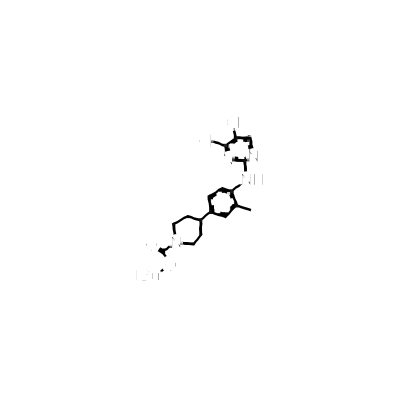 Cc1cc(C2CCN(C(=O)OC(C)(C)C)CC2)ccc1Nc1ncc(C(F)(F)F)c(Cl)n1